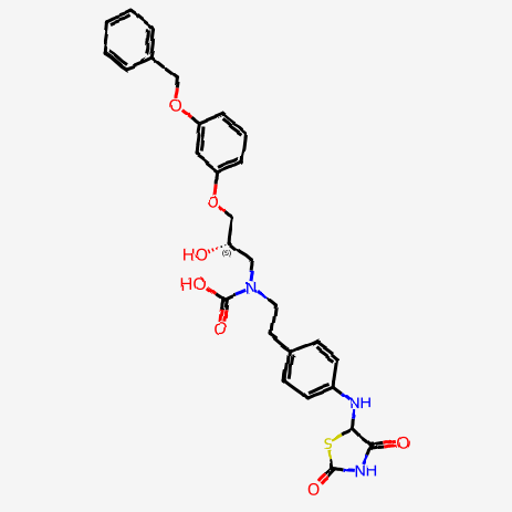 O=C1NC(=O)C(Nc2ccc(CCN(C[C@H](O)COc3cccc(OCc4ccccc4)c3)C(=O)O)cc2)S1